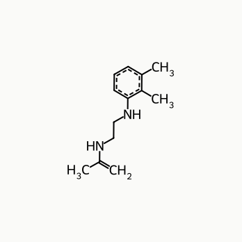 C=C(C)NCCNc1cccc(C)c1C